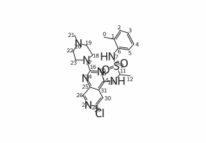 Cc1ccccc1NS(=O)(=O)C(C)Nc1nc(N2CCN(C)CC2)nc2cnc(Cl)cc12